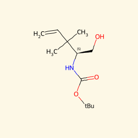 C=CC(C)(C)[C@@H](CO)NC(=O)OC(C)(C)C